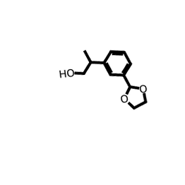 CC(CO)c1cccc(C2OCCO2)c1